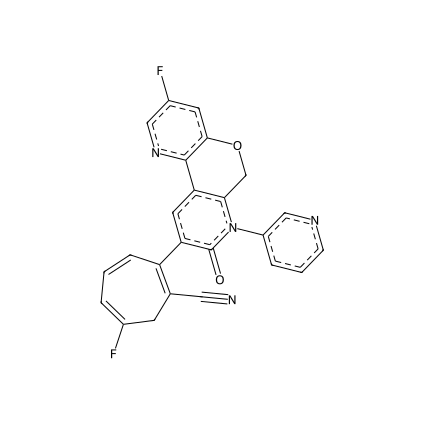 N#CC1=C(c2cc3c(n(-c4cccnc4)c2=O)COc2cc(F)cnc2-3)C=CC=C(F)C1